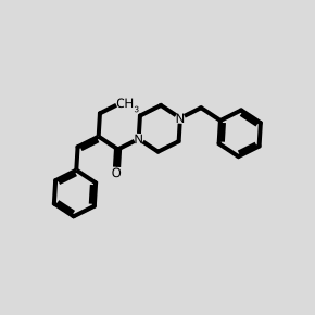 CCC(=Cc1ccccc1)C(=O)N1CCN(Cc2ccccc2)CC1